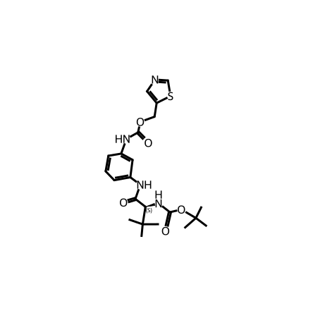 CC(C)(C)OC(=O)N[C@H](C(=O)Nc1cccc(NC(=O)OCc2cncs2)c1)C(C)(C)C